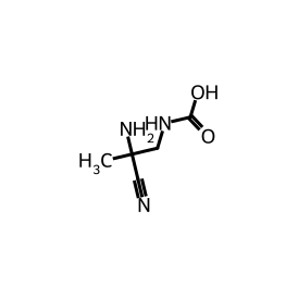 CC(N)(C#N)CNC(=O)O